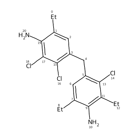 CCc1cc(Cc2cc(CC)c(N)c(CC)c2Cl)c(Cl)c(Cl)c1N